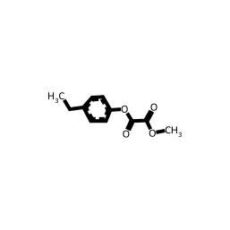 CCc1ccc(OC(=O)C(=O)OC)cc1